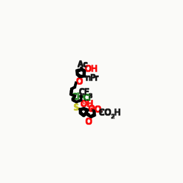 CCCc1c(OCC/C=C\C=C\[C@H](Sc2ccc3c(=O)cc(OC(=O)O)oc3c2)[C@@H](O)C(Cl)(Cl)C(F)(F)F)ccc(C(C)=O)c1O